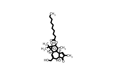 CCCCCCCCCC(=O)OC1[C@@H](C)[C@@]2(O)[C@@H](C=C(CO)C[C@]3(O)C(=O)C(C)=C[C@@H]23)[C@@H]2C(C)(C)[C@]12O